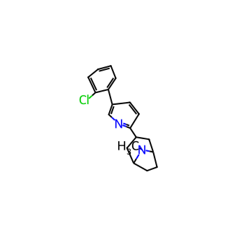 CN1C2CCC1CC(c1ccc(-c3ccccc3Cl)cn1)C2